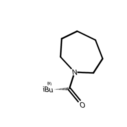 CC[C@@H](C)C(=O)N1CCCCCC1